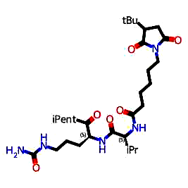 CCCC(C)C(=O)[C@H](CCCNC(N)=O)NC(=O)[C@@H](NC(=O)CCCCCN1C(=O)CC(C(C)(C)C)C1=O)C(C)C